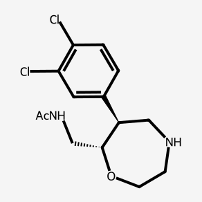 CC(=O)NC[C@H]1OCCNC[C@@H]1c1ccc(Cl)c(Cl)c1